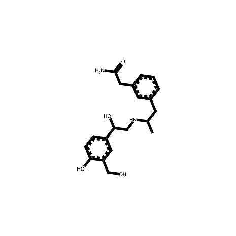 CC(Cc1cccc(CC(N)=O)c1)NCC(O)c1ccc(O)c(CO)c1